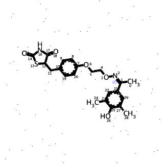 C/C(=N/OCCOc1ccc(CC2SC(=O)NC2=O)cc1)c1cc(C)c(O)c(C)c1